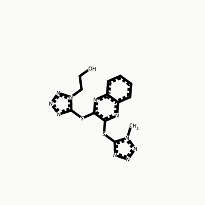 Cn1nnnc1Sc1nc2ccccc2nc1Sc1nnnn1CCO